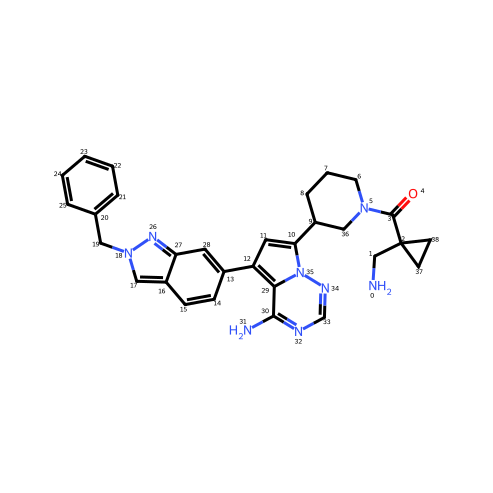 NCC1(C(=O)N2CCCC(c3cc(-c4ccc5cn(Cc6ccccc6)nc5c4)c4c(N)ncnn34)C2)CC1